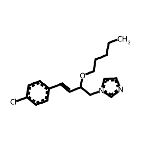 CCCCCOC(C=Cc1ccc(Cl)cc1)Cn1ccnc1